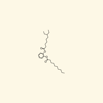 CCCCCCCCCC(=O)Oc1ccccc1OC(=O)CCCCCC(CC)CC